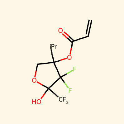 C=CC(=O)OC1(C(C)C)COC(O)(C(F)(F)F)C1(F)F